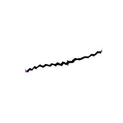 ICCCCCCCCCCCC=CCCCCCCCCCCCCI